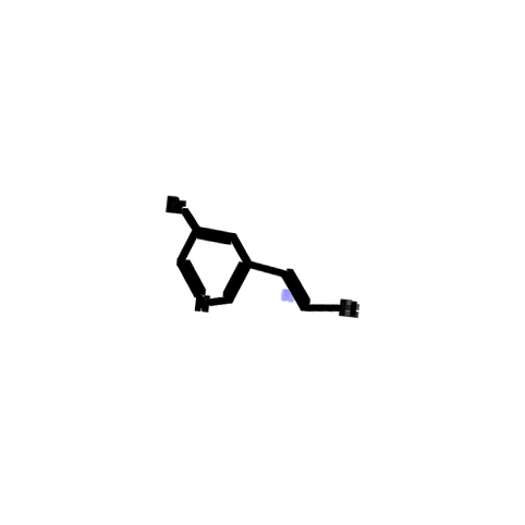 CC/C=C/c1cncc(Br)c1